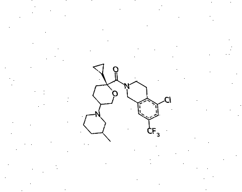 CC1CCCN(C2CC[C@@](C(=O)N3CCc4c(Cl)cc(C(F)(F)F)cc4C3)(C3CC3)OC2)C1